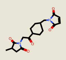 CC1CC(=O)N(CC(=O)C2CCC(CN3C(=O)C=CC3=O)CC2)C1=O